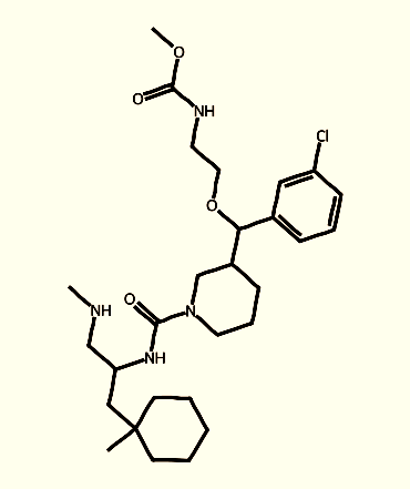 CNCC(CC1(C)CCCCC1)NC(=O)N1CCCC(C(OCCNC(=O)OC)c2cccc(Cl)c2)C1